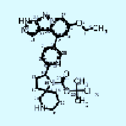 CCOc1cc(-c2ccc(C3CCC4(CCCNC4)N3C(=O)OC(C)(C)C)nc2)c2c3cn[nH]c3nn2c1